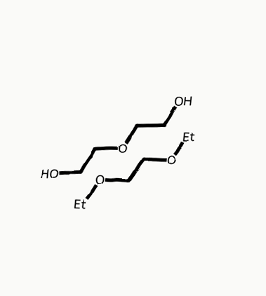 CCOCCOCC.OCCOCCO